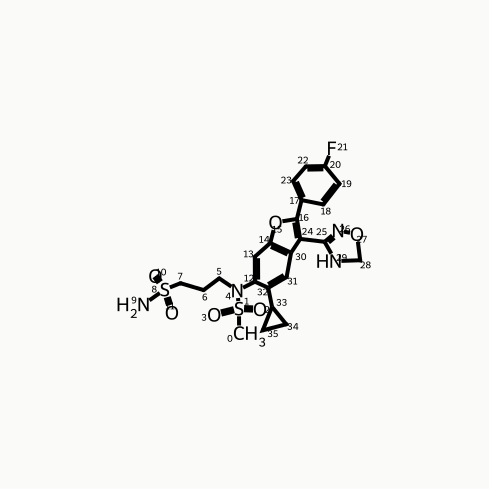 CS(=O)(=O)N(CCCS(N)(=O)=O)c1cc2oc(-c3ccc(F)cc3)c(C3=NOCN3)c2cc1C1CC1